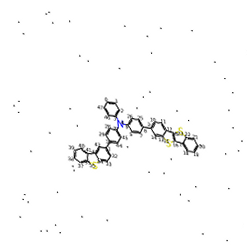 c1ccc(N(c2ccc(-c3ccc4c(c3)sc3c5ccccc5sc43)cc2)c2ccc(-c3ccc4sc5ccccc5c4c3)cc2)cc1